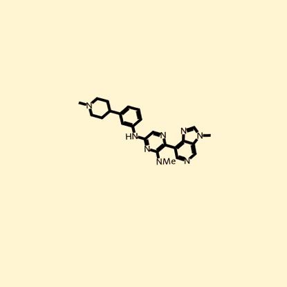 CNc1nc(Nc2cccc(C3CCN(C)CC3)c2)cnc1-c1cncc2c1ncn2C